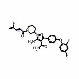 C=C(F)/C=C/C(=O)N1CCCC(n2nc(-c3ccc(Oc4ccc(F)cc4F)cc3)c(C(N)=O)c2N)C1